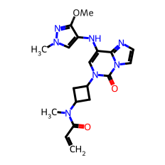 C=CC(=O)N(C)C1CC(n2cc(Nc3cn(C)nc3OC)c3nccn3c2=O)C1